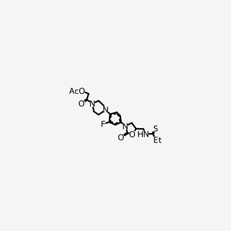 CCC(=S)NCC1CN(c2ccc(N3CCN(C(=O)COC(C)=O)CC3)c(F)c2)C(=O)O1